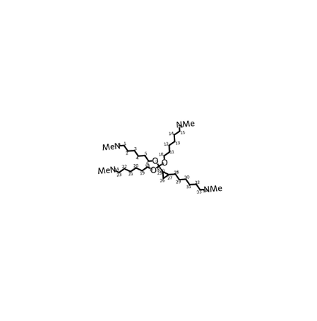 CNCCCCCCOC(OCCCCCCNC)(OCCCCCCNC)[C@@H]1CC1CCCCCCNC